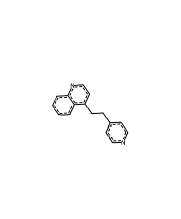 [CH](Cc1ccncc1)c1ccnc2ccccc12